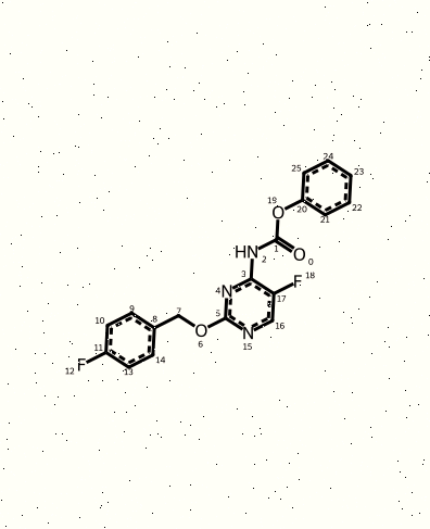 O=C(Nc1nc(OCc2ccc(F)cc2)ncc1F)Oc1ccccc1